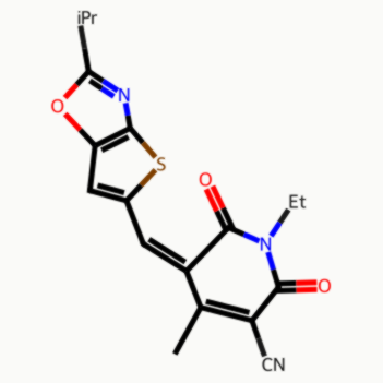 CCN1C(=O)C(C#N)=C(C)/C(=C/c2cc3oc(C(C)C)nc3s2)C1=O